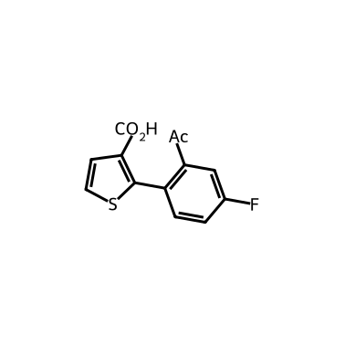 CC(=O)c1cc(F)ccc1-c1sccc1C(=O)O